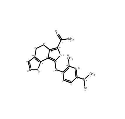 CC(=O)N(C)c1ccc(Oc2sc(C(N)=O)c3c2-c2sncc2CC3)c(C)n1